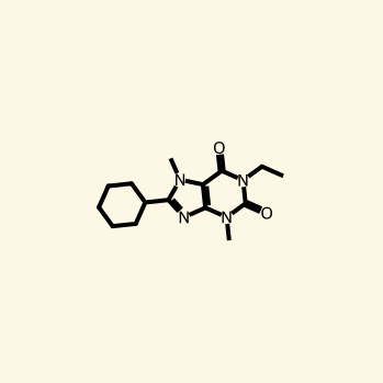 CCn1c(=O)c2c(nc(C3CCCCC3)n2C)n(C)c1=O